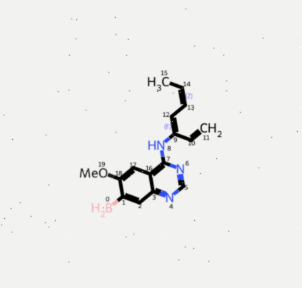 Bc1cc2ncnc(N/C(C=C)=C/C=C\C)c2cc1OC